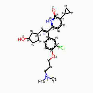 CCN(CC)CCCOc1ccc(/C(=C\[C@H]2CCC(O)C2)c2ccc(C3CC3)c(=O)[nH]2)cc1Cl